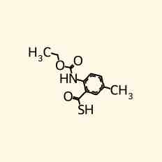 CCOC(=O)Nc1ccc(C)cc1C(=O)S